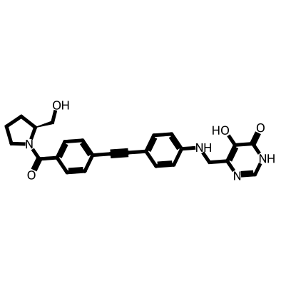 O=C(c1ccc(C#Cc2ccc(NCc3nc[nH]c(=O)c3O)cc2)cc1)N1CCC[C@H]1CO